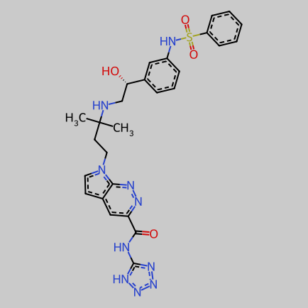 CC(C)(CCn1ccc2cc(C(=O)Nc3nnn[nH]3)nnc21)NC[C@H](O)c1cccc(NS(=O)(=O)c2ccccc2)c1